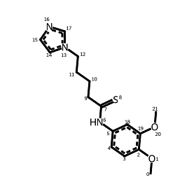 COc1ccc(NC(=S)CCCCn2ccnc2)cc1OC